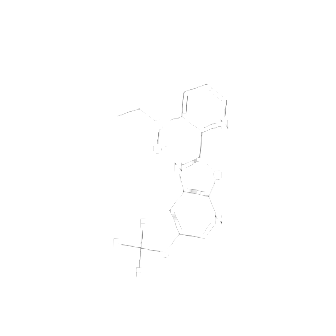 CC[S+]([O-])c1cccnc1-c1nc2cc(SC(F)(F)F)cnc2o1